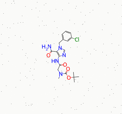 CN(CC(=O)Nc1ncn(Cc2cccc(Cl)c2)c1C(N)=O)C(=O)OC(C)(C)C